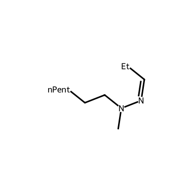 CC/C=N\N(C)CCCCCCC